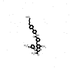 COc1cccc(Nc2c(C(N)=O)cnc3c(C)cc(Cc4cccc(C(=O)Nc5ccc(-c6ccc(CCCCO)cc6)cc5)c4)cc23)c1